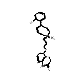 Cc1ccccc1C1CC[N+](C)(CCCOc2cccc3c2CCC(=O)N3)CC1.[I-]